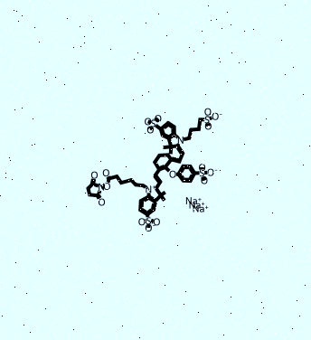 CC1(C)C(/C=C/C2=C(Oc3ccc(S(=O)(=O)[O-])cc3)C(=C/C=C3/N(CCCCS(=O)(=O)[O-])c4ccc(S(=O)(=O)[O-])cc4C3(C)C)/CCC2)=[N+](CCCCCC(=O)ON2C(=O)CCC2=O)c2ccc(S(=O)(=O)[O-])cc21.[Na+].[Na+].[Na+]